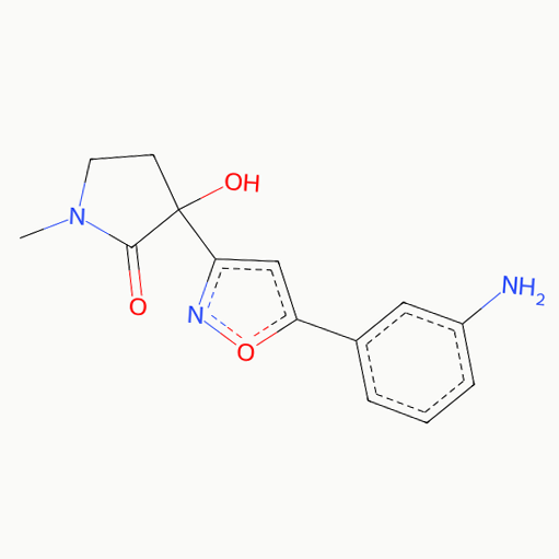 CN1CCC(O)(c2cc(-c3cccc(N)c3)on2)C1=O